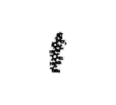 CCCn1cc(-c2cnc3c(Nc4ccc(C(=O)NCCOCC(C)C)c(CC)c4)nccn23)c(C(F)(F)F)n1